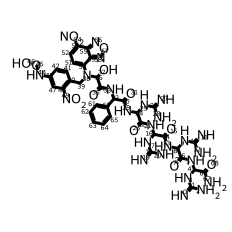 N=C(N)NC(NC(=O)C(NC(=N)N)NC(=O)C(NC(=N)N)NC(=O)C(NC(=N)N)NC(=O)C(NC(=O)C(O)N(Cc1ccc(NOO)cc1[N+](=O)[O-])c1ccc([N+](=O)[O-])c2nonc12)c1ccccc1)C(N)=O